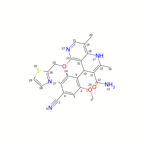 COc1cc(C#N)ccc1C1C(C(N)=O)=C(C)Nc2c(C)cnc(OCc3nccs3)c21